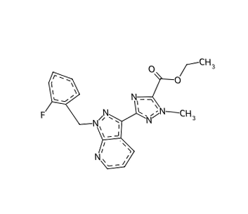 CCOC(=O)c1nc(-c2nn(Cc3ccccc3F)c3ncccc23)nn1C